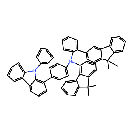 CC1(C)c2ccccc2-c2cc(-c3ccccc3N(c3ccc(-c4cccc5c6ccccc6n(-c6ccccc6)c45)cc3)c3cccc4c3-c3ccccc3C4(C)C)ccc21